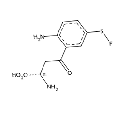 Nc1ccc(SF)cc1C(=O)C[C@H](N)C(=O)O